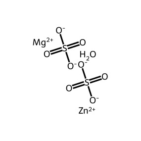 O.O=S(=O)([O-])[O-].O=S(=O)([O-])[O-].[Mg+2].[Zn+2]